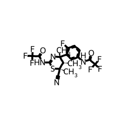 C[C@@H]1[C@@](C)(C#N)SC(NC(=O)C(F)(F)F)=N[C@]1(C)c1cc(NC(=O)C(F)(F)F)ccc1F